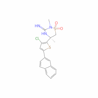 CN1C(=N)N[C@](C)(c2sc(-c3ccc4ccccc4c3)cc2Cl)CS1(=O)=O